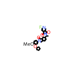 COc1ccc(N2Cc3ccc(C(C)N4C(=O)c5cnc(F)cc5C4=O)cc3C2=O)cc1OC1CCCC1